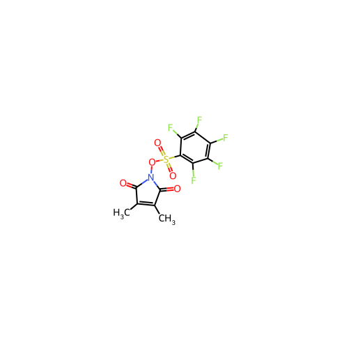 CC1=C(C)C(=O)N(OS(=O)(=O)c2c(F)c(F)c(F)c(F)c2F)C1=O